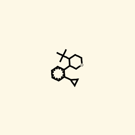 CC(C)(C)C1CCOCC1c1ccccc1C1CC1